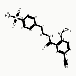 COc1ccc(C#N)cc1C(=O)NCCc1ccc(S(N)(=O)=O)cc1